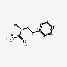 CN(CCc1ccncc1)C(N)=O